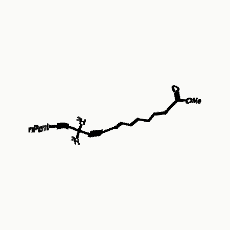 [2H]C([2H])(C#CCCCCC)C#CCCCCCCCC(=O)OC